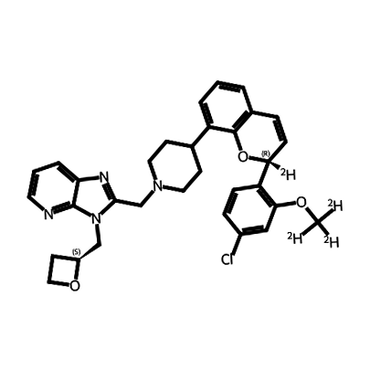 [2H]C([2H])([2H])Oc1cc(Cl)ccc1[C@@]1([2H])C=Cc2cccc(C3CCN(Cc4nc5cccnc5n4C[C@@H]4CCO4)CC3)c2O1